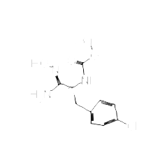 CC(C)(C)OC(=O)N[C@@H](Cc1ccc(Cl)cc1)/C(N)=N/O